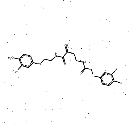 C=C(CCNC(=O)COc1ccc(Cl)c(F)c1)C(=O)NCCOc1ccc(C)c(C)c1